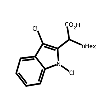 CCCCCCC(C(=O)O)c1c(Cl)c2ccccc2n1Cl